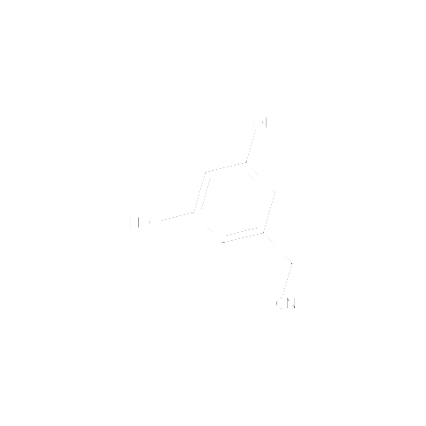 Cc1cc(O)cc(CC#N)c1